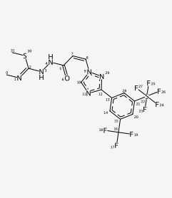 C/N=C(/NNC(=O)/C=C\n1cnc(-c2cc(C(F)(F)F)cc(S(F)(F)(F)(F)F)c2)n1)SC